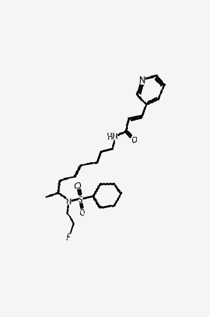 CC(CCCCCCNC(=O)/C=C/c1cccnc1)N(CCF)S(=O)(=O)C1CCCCC1